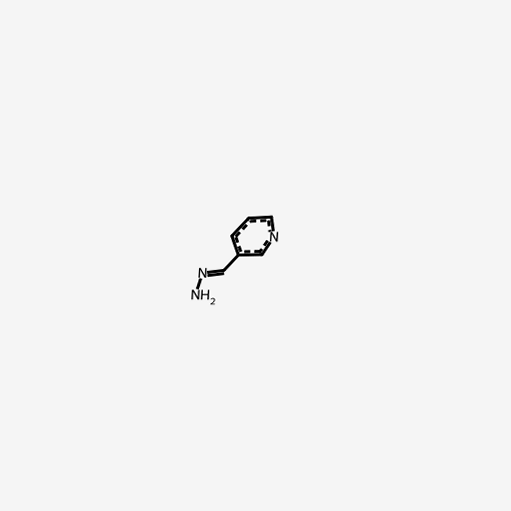 NN=Cc1cccnc1